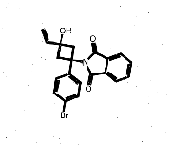 C=C[C@]1(O)C[C@@](c2ccc(Br)cc2)(N2C(=O)c3ccccc3C2=O)C1